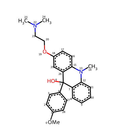 COc1ccc(C2(O)c3ccccc3N(C)c3ccc(OCCN(C)C)cc32)cc1